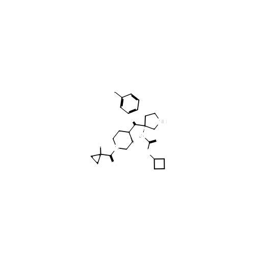 CN(C(=O)OC1CCC1)[C@]1(C(=O)C2CCN(C(=O)C3(C)CC3)CC2)CNC[C@H]1c1ccc(Cl)cc1